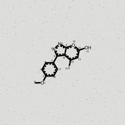 COc1ccc(-c2nnc3oc(O)cc(I)c2-3)cc1